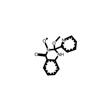 CON1C(=O)c2ccccc2NC1(OC)c1ccccn1